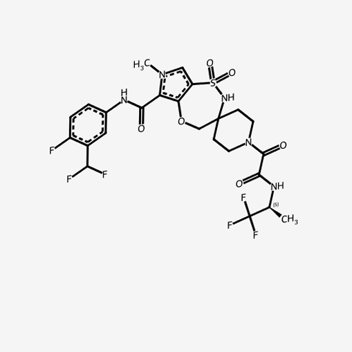 C[C@H](NC(=O)C(=O)N1CCC2(CC1)COc1c(cn(C)c1C(=O)Nc1ccc(F)c(C(F)F)c1)S(=O)(=O)N2)C(F)(F)F